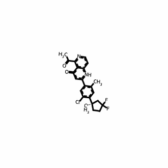 CC(=O)c1nccc2[nH]c(-c3cc(Cl)c([C@]4(C)CCC(F)(F)C4)cc3C)cc(=O)c12